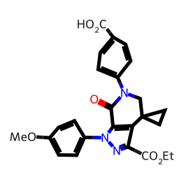 CCOC(=O)c1nn(-c2ccc(OC)cc2)c2c1C1(CC1)CN(c1ccc(C(=O)O)cc1)C2=O